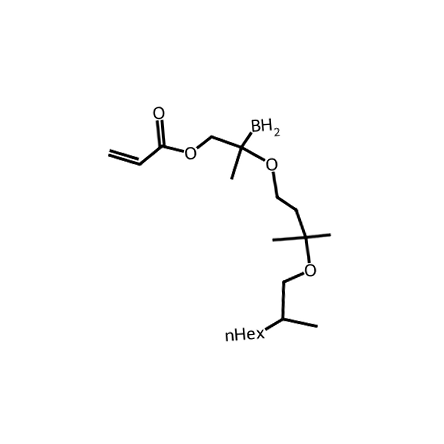 BC(C)(COC(=O)C=C)OCCC(C)(C)OCC(C)CCCCCC